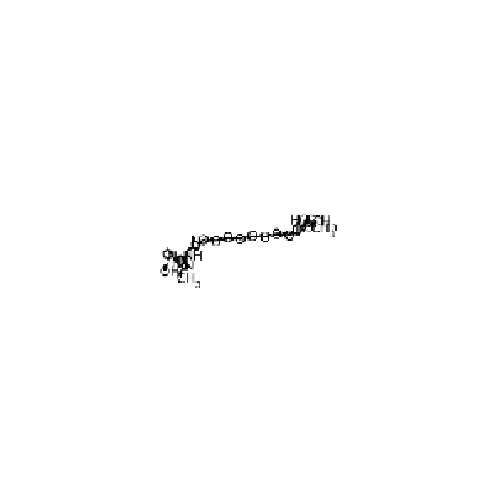 CCc1cnn2c(NCc3ccc(OCCOCCOCCOCCOCCOCCOCCOC4CCN(C(=O)OC(C)(C)C)CC4)nc3)cc(N3CCCC[C@H]3CCO)nc12